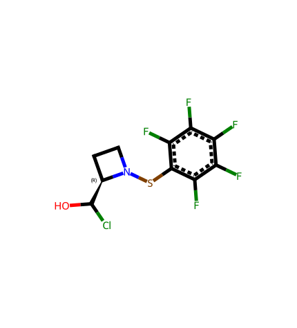 OC(Cl)[C@H]1CCN1Sc1c(F)c(F)c(F)c(F)c1F